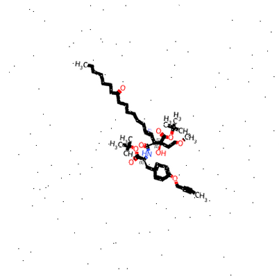 CC#CCOc1ccc(C[C@H](NC(=O)[C@@H](/C=C/CCCCCCC(=O)CCCCCCC)[C@@](O)(CCOC)C(=O)OC(C)(C)C)C(=O)OC(C)(C)C)cc1